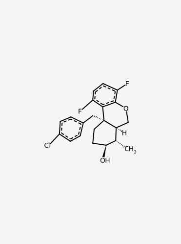 C[C@@H]1[C@@H](O)CC[C@@]2(Cc3ccc(Cl)cc3)c3c(F)ccc(F)c3OC[C@@H]12